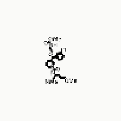 CNCC(CCCOC)NC(=O)N1CCCC([C@@H](OCCNC(=O)OC)c2cccc(Cl)c2)C1